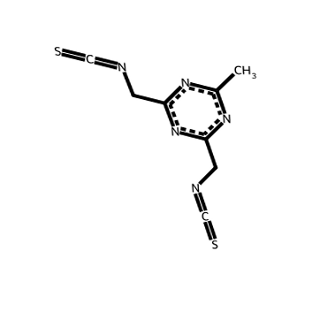 Cc1nc(CN=C=S)nc(CN=C=S)n1